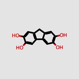 Oc1cc2c(cc1O)-c1cc(O)c(O)cc1C2